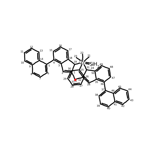 CC1=Cc2c(-c3cccc4ccccc34)cccc2[CH]1[Zr]([CH3])([CH3])([CH3])(=[SiH2])([c]1ccccc1)[CH]1C(C)=Cc2c(-c3cccc4ccccc34)cccc21